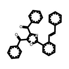 O=C(c1ccccc1)c1nc(-c2ccccc2C=Cc2ccccc2)oc1C(=O)c1ccccc1